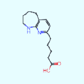 O=C(O)CCCCc1ccc2c(n1)NCCCC2